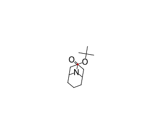 CC(C)(C)OC(=O)N1C2CCCC1CCC2